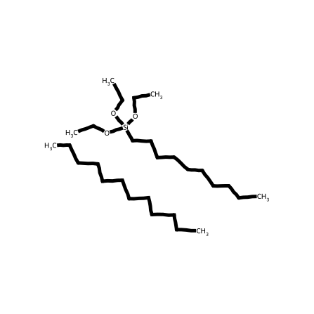 CCCCCCCCCCCC.CCCCCCCCCC[Si](OCC)(OCC)OCC